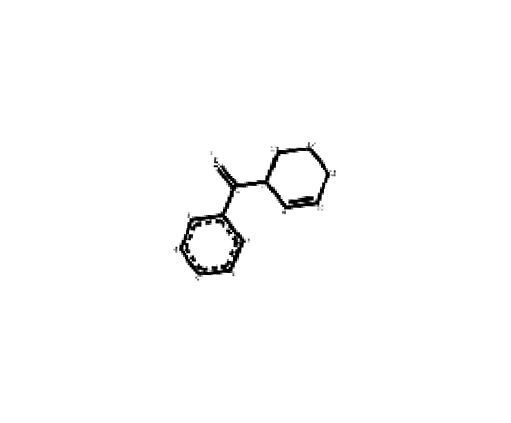 S=C(c1ccccc1)C1C=CCCC1